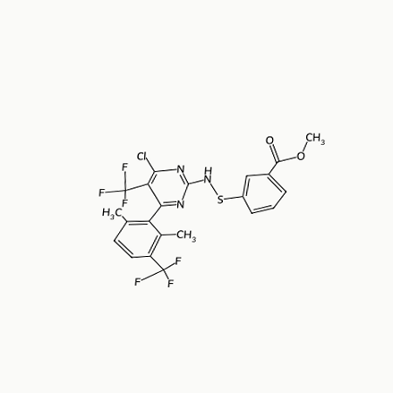 COC(=O)c1cccc(SNc2nc(Cl)c(C(F)(F)F)c(-c3c(C)ccc(C(F)(F)F)c3C)n2)c1